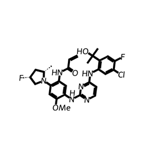 C=CC(=O)Nc1cc(Nc2nccc(Nc3cc(Cl)c(F)cc3C(C)(C)O)n2)c(OC)cc1N1C[C@H](F)C[C@@H]1C